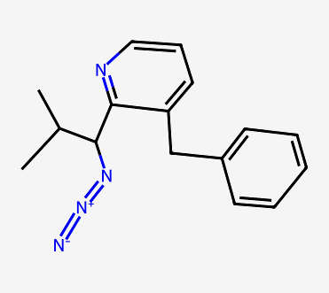 CC(C)C(N=[N+]=[N-])c1ncccc1Cc1ccccc1